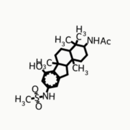 CC(=O)NC1CCC2(C)C3Cc4cc(NS(C)(=O)=O)cc(O)c4C3(C)CCC2C1(C)C